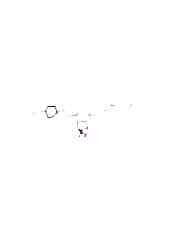 COC(=O)CCNC(=O)[C@H]1[C@H](C(=O)NCc2ccc(Br)cc2)[C@@H]2CC[C@H]1C21CC1